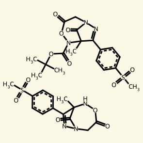 CC(C)(C)OC(=O)N1OC(=O)CN2N=C(c3ccc(S(C)(=O)=O)cc3)C1(C)C2=O.CC12NOC(=O)CN(N=C1c1ccc(S(C)(=O)=O)cc1)C2=O